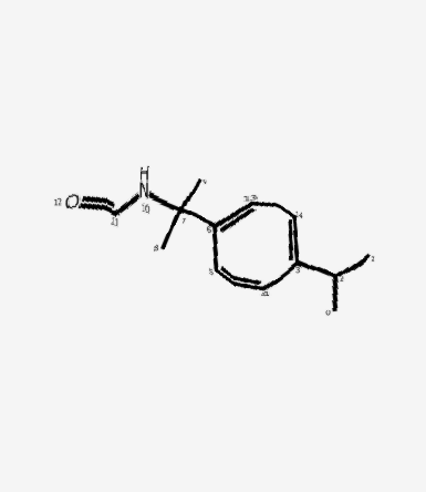 CC(C)c1ccc(C(C)(C)N[C]=O)cc1